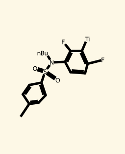 CCCCN(c1ccc(F)[c]([Ti])c1F)S(=O)(=O)c1ccc(C)cc1